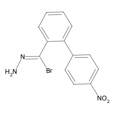 NN=C(Br)c1ccccc1-c1ccc([N+](=O)[O-])cc1